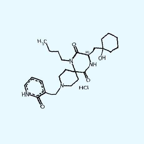 CCCCN1C(=O)[C@@H](CC2(O)CCCCC2)NC(=O)C12CCN(Cc1ccc[nH]c1=O)CC2.Cl